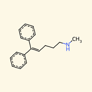 CNCCCC=C(c1ccccc1)c1ccccc1